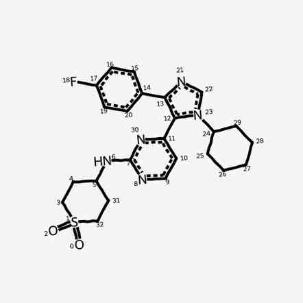 O=S1(=O)CCC(Nc2nccc(-c3c(-c4ccc(F)cc4)ncn3C3CCCCC3)n2)CC1